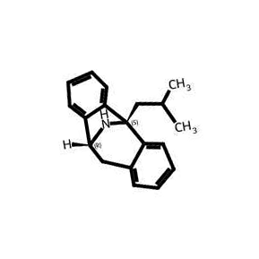 CC(C)C[C@]12N[C@H](Cc3ccccc31)c1ccccc12